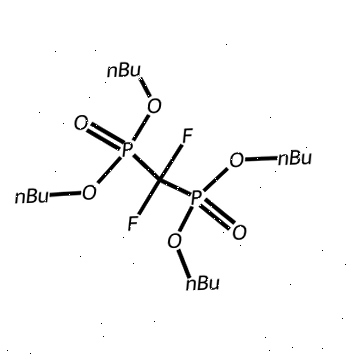 CCCCOP(=O)(OCCCC)C(F)(F)P(=O)(OCCCC)OCCCC